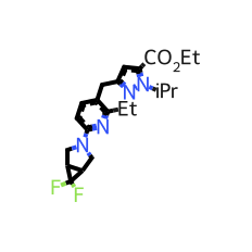 CCOC(=O)c1cc(Cc2ccc(N3CC4C(C3)C4(F)F)nc2CC)nn1C(C)C